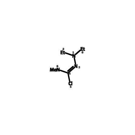 CCN(CC)/N=C(/Cl)NC